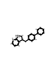 c1ccc(-c2ccc(CC3CNc4ncccc43)cc2)cc1